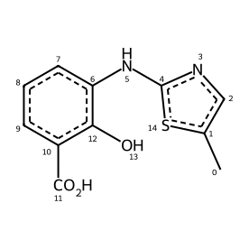 Cc1cnc(Nc2cccc(C(=O)O)c2O)s1